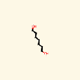 OCCC[CH]CCCO